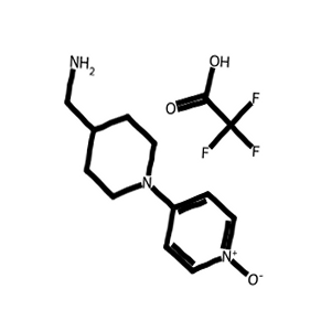 NCC1CCN(c2cc[n+]([O-])cc2)CC1.O=C(O)C(F)(F)F